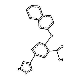 O=C(O)c1cc(-c2cn[nH]c2)ccc1Oc1ccc2ccccc2c1